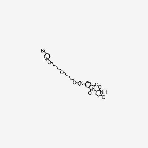 O=C1CCC(N2C(=O)c3ccc(N4CC(OCCCCCOCCCCCOc5ccc(Br)cn5)C4)cc3C2=O)C(=O)N1